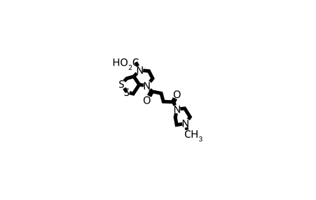 CN1CCN(C(=O)CCC(=O)N2CCN(C(=O)O)C3CSSCC32)CC1